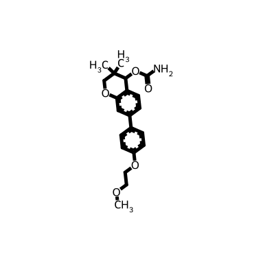 COCCOc1ccc(-c2ccc3c(c2)OCC(C)(C)C3OC(N)=O)cc1